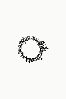 C/C=C/C[C@@H](C)[C@@H](O)[C@H]1C(=O)N[C@@H](CC)C(=O)N(C)CC(=O)N(C)[C@@H](C(C)CC)C(=O)N[C@@H](CC(C)C)C(=O)N(C)[C@@H](C)C(=O)N[C@@H](C)C(=O)N[C@H](C)C(=O)N(C)[C@@H](CC(C)C)C(=O)N(C)[C@@H](CC(C)C)C(=O)N(C)[C@@H](C(C)C)C(=O)N1C